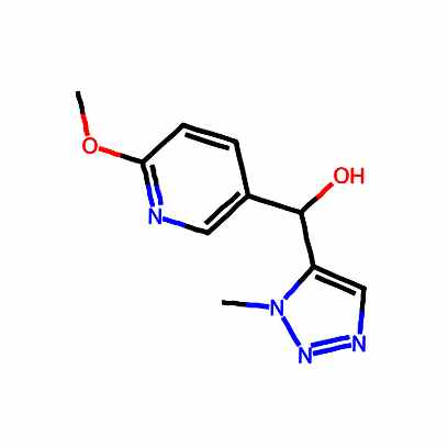 COc1ccc(C(O)c2cnnn2C)cn1